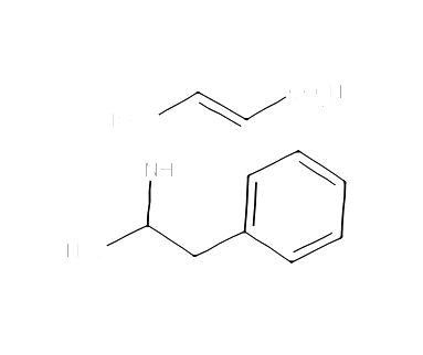 CC(N)Cc1ccccc1.O=C(O)/C=C/C(=O)O